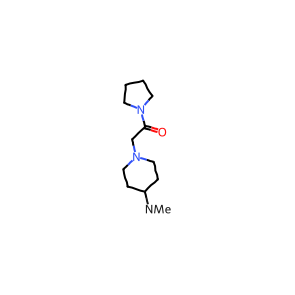 CNC1CCN(CC(=O)N2CCCC2)CC1